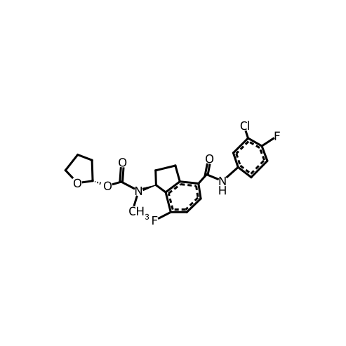 CN(C(=O)O[C@H]1CCCO1)[C@H]1CCc2c(C(=O)Nc3ccc(F)c(Cl)c3)ccc(F)c21